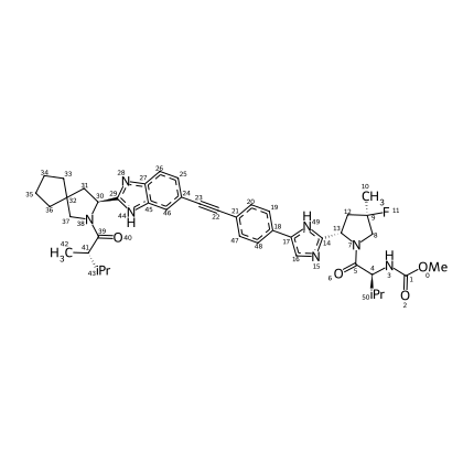 COC(=O)N[C@H](C(=O)N1C[C@](C)(F)C[C@H]1c1ncc(-c2ccc(C#Cc3ccc4nc([C@@H]5CC6(CCCC6)CN5C(=O)[C@@H](C)C(C)C)[nH]c4c3)cc2)[nH]1)C(C)C